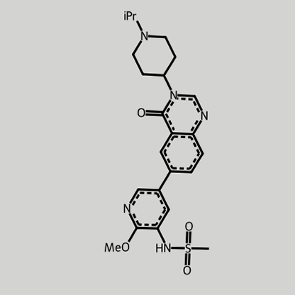 COc1ncc(-c2ccc3ncn(C4CCN(C(C)C)CC4)c(=O)c3c2)cc1NS(C)(=O)=O